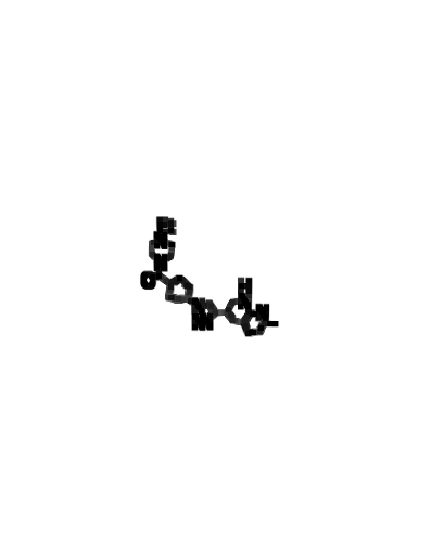 CCN1CCN(C(=O)c2ccc(-n3cc(C4=Cc5ccc(C)nc5NC4)nn3)cc2)CC1